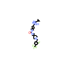 O=C(N1CC2(CCN(Cc3ccc(C(F)(F)F)cc3F)CC2)C1)N1CC2(CC(c3nnc(C4CC4)[nH]3)C2)C1